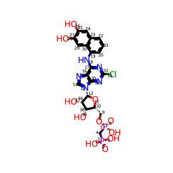 O=P(O)(O)CP(=O)(O)OC[C@H]1O[C@@H](n2cnc3c(Nc4cccc5cc(O)c(O)cc45)nc(Cl)nc32)[C@@H](O)[C@H]1O